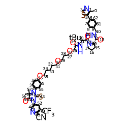 Cc1ncsc1-c1ccc(CNC(=O)[C@@H]2CCCN2C(=O)C(NC(=O)COCCCOCCCCCOc2ccc(N3C(=S)N(c4cnc(C#N)c(C(F)(F)F)c4)C(=O)C3(C)C)cc2)C(C)(C)C)cc1